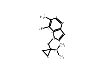 Cc1ccc2ccn(CC3(N(C)C)CC3)c2c1F